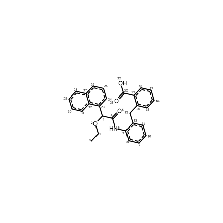 CCOC(C(=O)Nc1ccccc1Cc1ccccc1C(=O)O)c1cccc2ccccc12